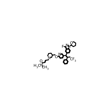 CN(C)C(=O)/C=C/CN1CCCC(COc2ccc(/C(=C(/CC(F)(F)F)c3ccccc3)c3ccc4c(c3)c(F)nn4C3CCCCO3)cn2)C1